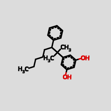 CCCCCC(c1ccccc1)C(C)(C)c1cc(O)cc(O)c1